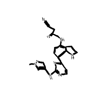 Cn1cc(Nc2nccc(-c3ccc(NC(=O)CC#N)c4cc[nH]c34)n2)cn1